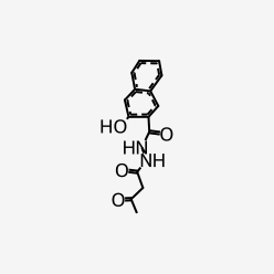 CC(=O)CC(=O)NNC(=O)c1cc2ccccc2cc1O